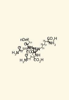 CCCCCCCCCCCC(=O)NC(CCC(N)=O)C(=O)O.CCCCCCCCCCCC(=O)NC(CCC(N)=O)C(=O)O.NCCCCC(N)C(=O)O